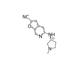 CN1CC[C@H](Nc2cc3cc(C#N)oc3cn2)C1